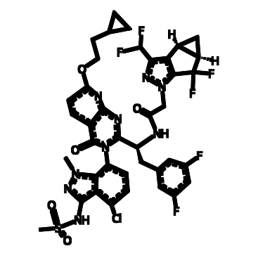 Cn1nc(NS(C)(=O)=O)c2c(Cl)ccc(-n3c([C@H](Cc4cc(F)cc(F)c4)NC(=O)Cn4nc(C(F)F)c5c4C(F)(F)[C@@H]4C[C@H]54)nc4nc(OCCC5CC5)ccc4c3=O)c21